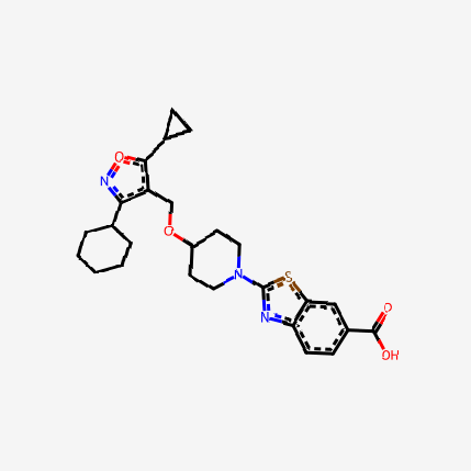 O=C(O)c1ccc2nc(N3CCC(OCc4c(C5CCCCC5)noc4C4CC4)CC3)sc2c1